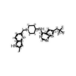 Cc1cc2nc(CN3CCC(Nc4ncnc5sc(CC(F)(F)F)cc45)CC3)ccc2[nH]1